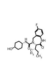 CC[C@H](C)[C@H]1C(=O)Nc2ccc(F)cc2CN1C(=O)N[C@H]1CC[C@H](O)CC1